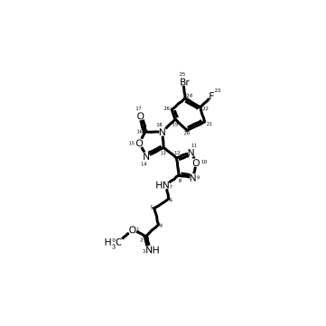 COC(=N)CCCNc1nonc1-c1noc(=O)n1-c1ccc(F)c(Br)c1